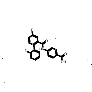 O=C(O)c1ccc(NC(=O)c2cc(F)ccc2-c2ccccc2F)cc1